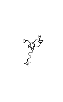 C[C@@]12Cc3c(c(CO)nn3COCC[Si](C)(C)C)C[C@@H]1C2